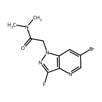 CN(C)C(=O)Cn1nc(F)c2ncc(Br)cc21